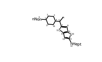 CCCCCCCCCC1CCC(C(C)c2cc3sc(CCCCCCC)cc3s2)CC1